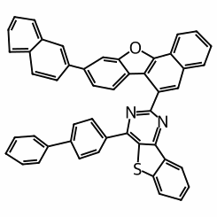 c1ccc(-c2ccc(-c3nc(-c4cc5ccccc5c5oc6cc(-c7ccc8ccccc8c7)ccc6c45)nc4c3sc3ccccc34)cc2)cc1